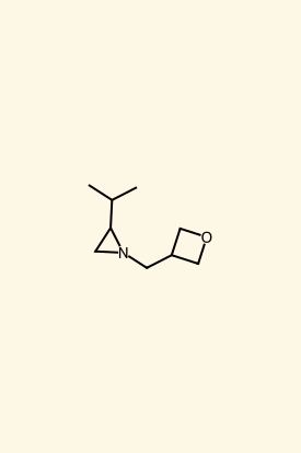 CC(C)C1CN1CC1COC1